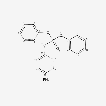 O=P(Oc1ccccc1)(Oc1ccccc1)Oc1ccccc1.P